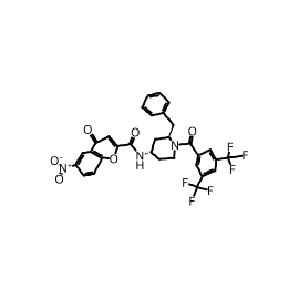 O=C(N[C@H]1CCN(C(=O)c2cc(C(F)(F)F)cc(C(F)(F)F)c2)[C@H](Cc2ccccc2)C1)c1cc(=O)c2cc([N+](=O)[O-])ccc2o1